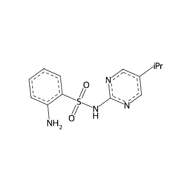 CC(C)c1cnc(NS(=O)(=O)c2ccccc2N)nc1